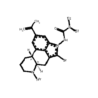 C=C(C)c1cc2c3c(c(Br)n(NC(=O)N(CC)CC)c3c1)C[C@@H]1[C@@H]2CCCN1CCC